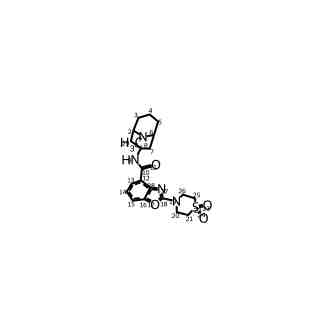 CN1C2CCCC1CC(NC(=O)c1cccc3oc(N4CCS(=O)(=O)CC4)nc13)C2